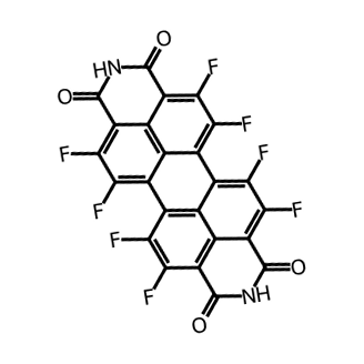 O=C1NC(=O)c2c(F)c(F)c3c4c(F)c(F)c5c6c(c(F)c(F)c(c7c(F)c(F)c1c2c73)c64)C(=O)NC5=O